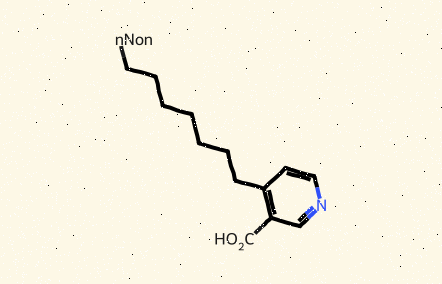 CCCCCCCCCCCCCCCCc1ccncc1C(=O)O